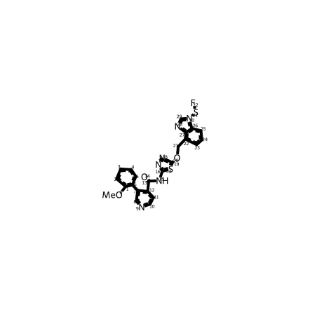 COc1ccccc1-c1cnccc1C(=O)Nc1nnc(OCc2cccc3c2ncn3SF)s1